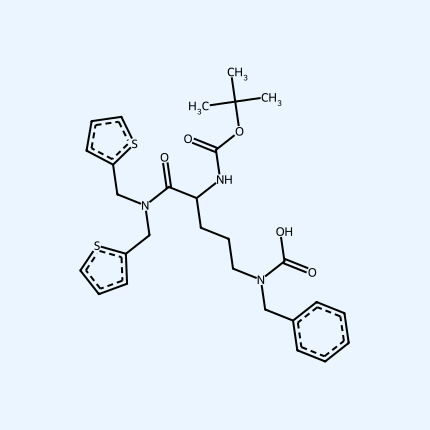 CC(C)(C)OC(=O)NC(CCCN(Cc1ccccc1)C(=O)O)C(=O)N(Cc1cccs1)Cc1cccs1